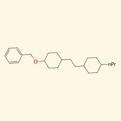 CCCC1CCC(CCC2CCC(OCc3ccccc3)CC2)CC1